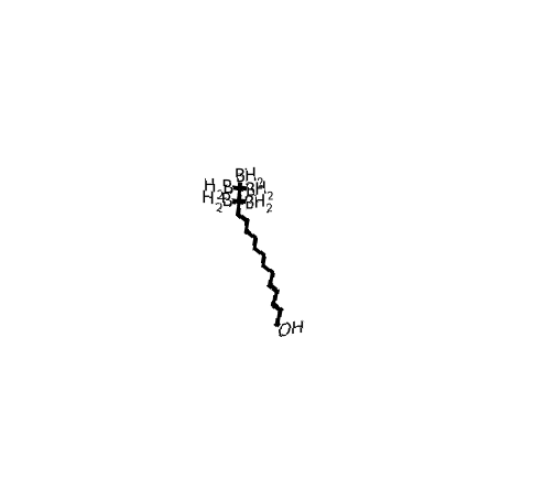 BC(B)(B)C(B)(B)CCCCCCCCCCCCCO